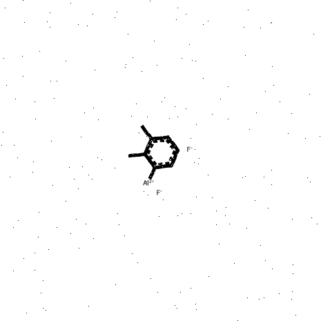 Cc1ccc[c]([Al+2])c1C.[F-].[F-]